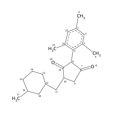 Cc1cc(C)c(C2C(=O)CC(CC3CCCC(C)C3)C2=O)c(C)c1